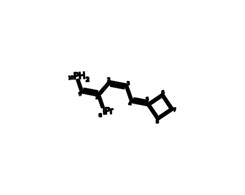 CC(C)C(/C=C\C=C1CCC1)=C/P